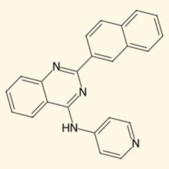 c1ccc2cc(-c3nc(Nc4ccncc4)c4ccccc4n3)ccc2c1